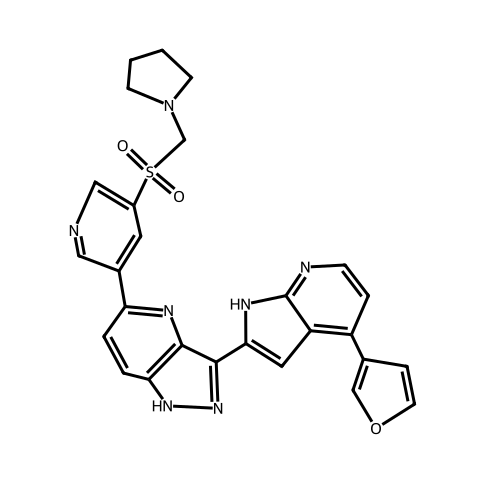 O=S(=O)(CN1CCCC1)c1cncc(-c2ccc3[nH]nc(-c4cc5c(-c6ccoc6)ccnc5[nH]4)c3n2)c1